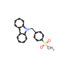 CS(=O)(=O)c1ccc(Cn2c3ccccc3c3ccccc32)cc1